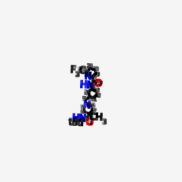 CC(C)(C)NC(=O)C1(C)CCN(Cc2cccc(NC(=O)c3cccc(C(F)(F)F)n3)c2)CC1